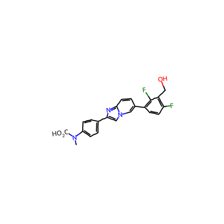 CN(C(=O)O)c1ccc(-c2cn3cc(-c4ccc(F)c(CO)c4F)ccc3n2)cc1